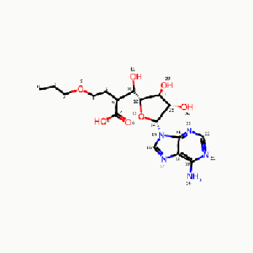 CCCOCCC(C(=O)O)C(O)[C@H]1O[C@@H](n2cnc3c(N)ncnc32)[C@@H](O)[C@@H]1O